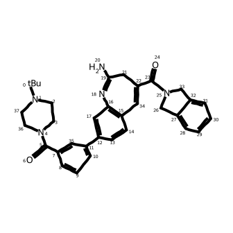 CC(C)(C)N1CCN(C(=O)c2cccc(-c3ccc4c(c3)N=C(N)CC(C(=O)N3Cc5ccccc5C3)=C4)c2)CC1